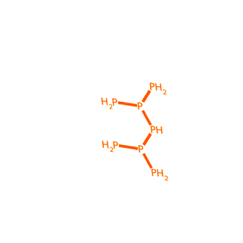 PP(P)PP(P)P